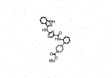 CC(C)(C)OC(=O)N1CCN(c2ccccc2NC(=O)c2csc(Nc3n[nH]c4ccccc34)n2)CC1